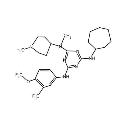 CN1CCC(N(C)c2nc(Nc3ccc(OC(F)(F)F)c(C(F)(F)F)c3)nc(NC3CCCCCC3)n2)CC1